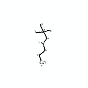 CC(C)(C)CSCCO